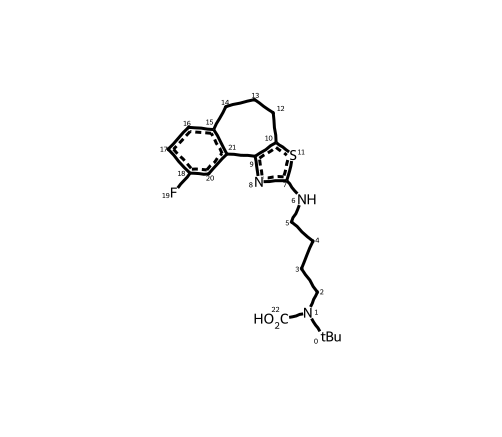 CC(C)(C)N(CCCCNc1nc2c(s1)CCCc1ccc(F)cc1-2)C(=O)O